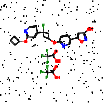 O=C(O)C(F)(F)F.O=C(O)C(F)(F)F.Oc1cc(-c2ccc(OC3CC(F)(c4ccnc(OC5CCC5)c4)C3)nc2)on1